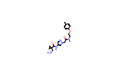 Cc1ccc(OCCN(C)C(=O)Cn2cc(NC(=O)C3(CN)CC3)cn2)cc1